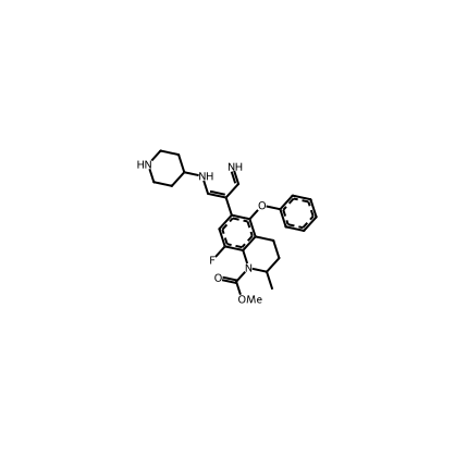 COC(=O)N1c2c(F)cc(/C(C=N)=C/NC3CCNCC3)c(Oc3ccccc3)c2CCC1C